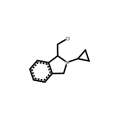 ClCC1c2ccccc2CN1C1CC1